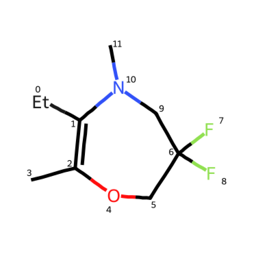 CCC1=C(C)OCC(F)(F)CN1C